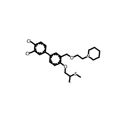 [CH2]C(COc1ccc(-c2ccc(Cl)c(Cl)c2)cc1COCCN1CCCCC1)SC